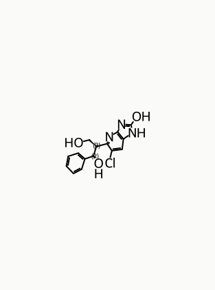 OC[C@@H](c1nc2nc(O)[nH]c2cc1Cl)[C@@H](O)c1ccccc1